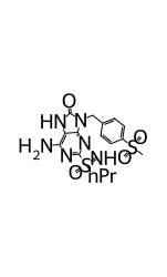 CCCS(=N)(=O)c1nc(N)c2[nH]c(=O)n(Cc3ccc(S(C)(=O)=O)cc3)c2n1